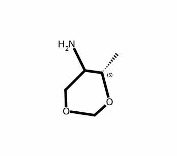 C[C@@H]1OCOCC1N